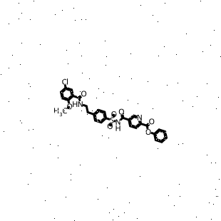 COc1ccc(Cl)cc1C(=O)NCCc1ccc(S(=O)(=O)NC(=O)c2ccc(C(=O)Oc3ccccc3)nc2)cc1